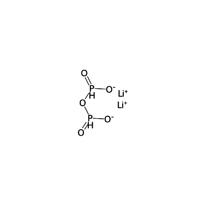 O=[PH]([O-])O[PH](=O)[O-].[Li+].[Li+]